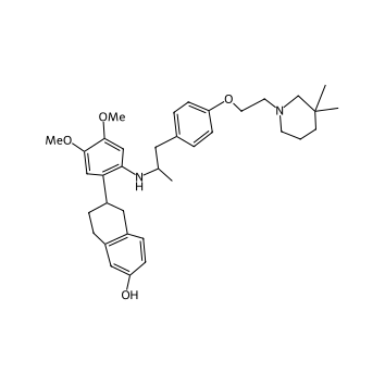 COc1cc(NC(C)Cc2ccc(OCCN3CCCC(C)(C)C3)cc2)c(C2CCc3cc(O)ccc3C2)cc1OC